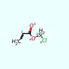 C=CC(=O)O[SiH2]Cl